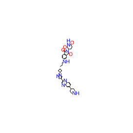 O=C1CCC(N2C(=O)c3ccc(NCCC[C@H]4C[C@H](n5cc(-c6cnc7cc(C8CCNCC8)ccc7n6)cn5)C4)cc3C2=O)C(=O)N1